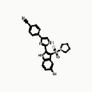 N#Cc1ccc(-c2c[nH]c(-c3[nH]c4ccc(Br)cc4c3S(=O)(=O)N3CCCC3)n2)cc1